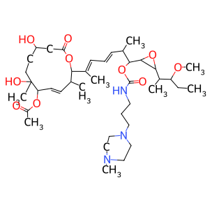 CCC(OC)C(C)C1OC1C(OC(=O)NCCCN1CCN(C)CC1)C(C)/C=C/C=C(\C)C1OC(=O)CC(O)CCC(C)(O)C(OC(C)=O)/C=C/C1C